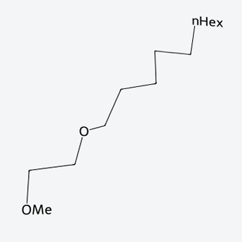 CCCCCCCCCCCOCCOC